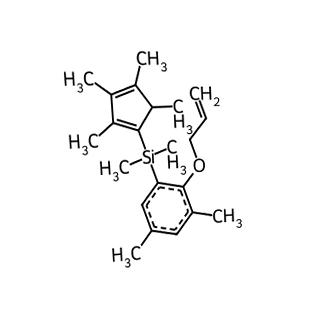 C=CCOc1c(C)cc(C)cc1[Si](C)(C)C1=C(C)C(C)=C(C)C1C